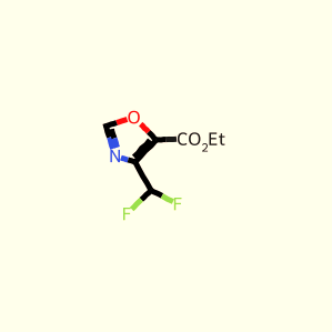 CCOC(=O)c1ocnc1C(F)F